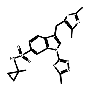 Cc1nnc(-n2cc(Cc3sc(C)nc3C)c3ccc(S(=O)(=O)NC4(C)CC4)cc32)s1